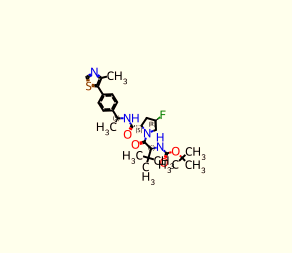 Cc1ncsc1-c1ccc([C@H](C)NC(=O)[C@@H]2C[C@@H](F)CN2C(=O)[C@@H](NC(=O)OC(C)(C)C)C(C)(C)C)cc1